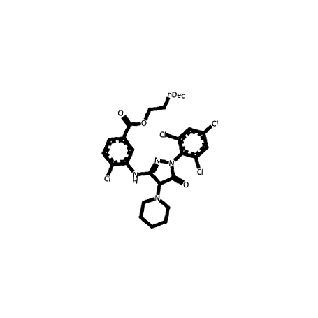 CCCCCCCCCCCCOC(=O)c1ccc(Cl)c(NC2=NN(c3c(Cl)cc(Cl)cc3Cl)C(=O)C2N2CCCCC2)c1